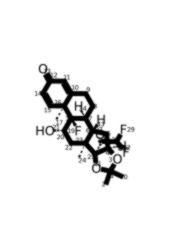 CC1(C)O[C@@H]2C[C@H]3[C@@H]4CCC5=CC(=O)C=C[C@]5(C)[C@@]4(F)[C@@H](O)C[C@]3(C)[C@]2(C(=O)C(F)F)O1